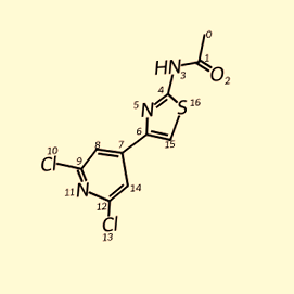 CC(=O)Nc1nc(-c2cc(Cl)nc(Cl)c2)cs1